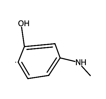 CNc1cc[c]c(O)c1